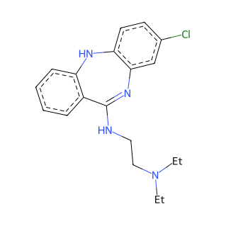 CCN(CC)CCNC1=Nc2cc(Cl)ccc2Nc2ccccc21